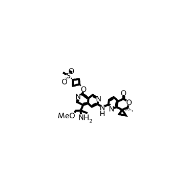 COCC(C)(N)c1cnc(O[C@H]2C[C@@H](S(C)(=O)=O)C2)c2cnc(Nc3ccc4c(n3)C3(CC3)[C@@H](C)OC4=O)cc12